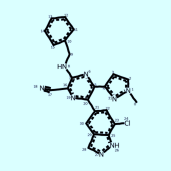 Cn1ccc(-c2nc(NCc3ccccc3)c(C#N)nc2-c2cc(Cl)c3[nH]ncc3c2)n1